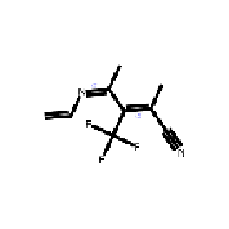 C=C/N=C(C)\C(=C(/C)C#N)C(F)(F)F